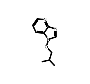 CC(C)COn1cnc2ncccc21